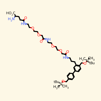 CC(C)(C)[Si](C)(C)OCc1ccc(-c2ccc(CO[Si](C)(C)C(C)(C)C)c(CCCNC(=O)COCCOCCNC(=O)COCCOCCNC(=O)CCC(N)C(=O)O)c2)cc1